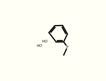 C[P]c1ccccc1.Cl.Cl